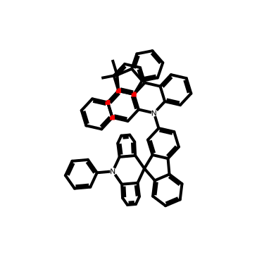 CC1(C)c2ccccc2-c2c(N(c3ccc4c(c3)C3(c5ccccc5-4)c4ccccc4N(c4ccccc4)c4ccccc43)c3ccccc3-c3cccc(-c4ccccc4)c3)cccc21